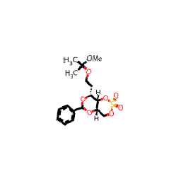 COC(C)(C)OCC[C@H]1OC(c2ccccc2)O[C@H]2COS(=O)(=O)O[C@H]21